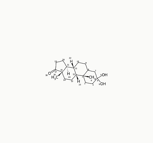 C[C@]12CCC(O)(O)CC1CC[C@@H]1[C@H]2CC[C@]2(C)C(=O)CC[C@@H]12